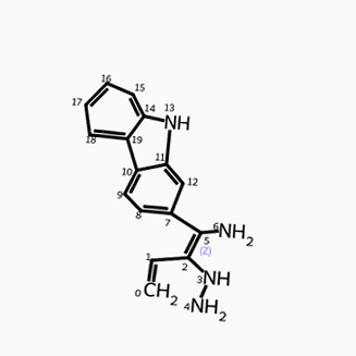 C=C/C(NN)=C(/N)c1ccc2c(c1)[nH]c1ccccc12